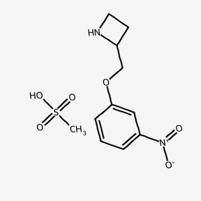 CS(=O)(=O)O.O=[N+]([O-])c1cccc(OCC2CCN2)c1